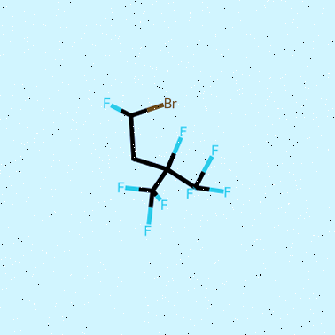 FC(Br)CC(F)(C(F)(F)F)C(F)(F)F